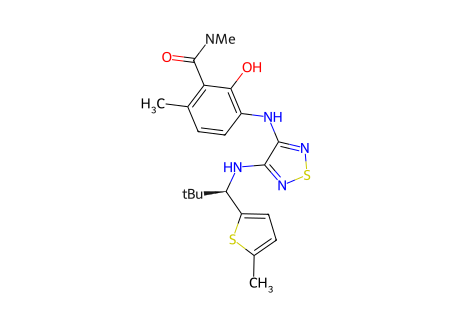 CNC(=O)c1c(C)ccc(Nc2nsnc2N[C@@H](c2ccc(C)s2)C(C)(C)C)c1O